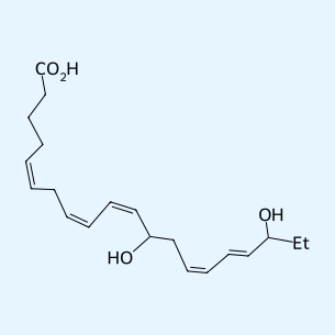 CCC(O)/C=C/C=C\CC(O)/C=C\C=C/C/C=C\CCCC(=O)O